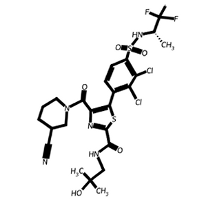 C[C@H](NS(=O)(=O)c1ccc(-c2sc(C(=O)NCC(C)(C)O)nc2C(=O)N2CCCC(C#N)C2)c(Cl)c1Cl)C(F)(F)F